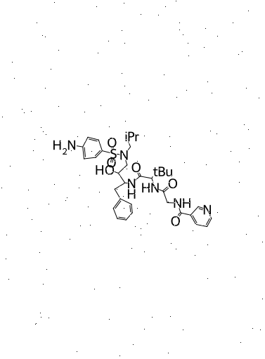 CC(C)CN(CC(O)C(Cc1ccccc1)NC(=O)C(NC(=O)CNC(=O)c1cccnc1)C(C)(C)C)S(=O)(=O)c1ccc(N)cc1